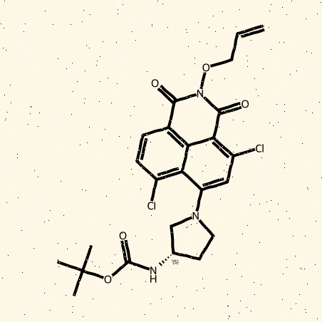 C=CCON1C(=O)c2ccc(Cl)c3c(N4CC[C@H](NC(=O)OC(C)(C)C)C4)cc(Cl)c(c23)C1=O